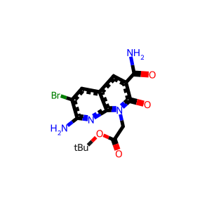 CC(C)(C)OC(=O)Cn1c(=O)c(C(N)=O)cc2cc(Br)c(N)nc21